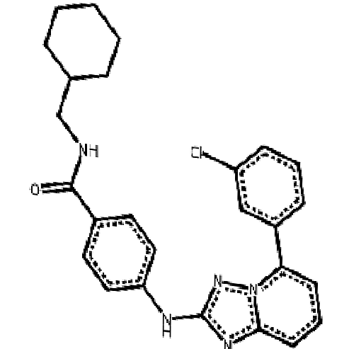 O=C(NCC1CCCCC1)c1ccc(Nc2nc3cccc(-c4cccc(Cl)c4)n3n2)cc1